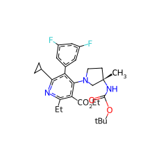 CCOC(=O)c1c(CC)nc(C2CC2)c(-c2cc(F)cc(F)c2)c1N1CC[C@](C)(NC(=O)OC(C)(C)C)C1